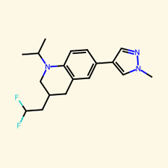 CC(C)N1CC(CC(F)F)Cc2cc(-c3cnn(C)c3)ccc21